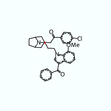 COc1cccc2c(C(=O)c3ccccc3)cn(CCCN3C4CCC3CC(CC(=O)c3ccc(Cl)cc3)C4)c12